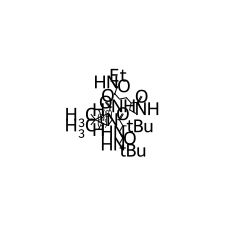 CCNC(=O)C(=O)C(CC1CCNC1=O)NC(=O)[C@@H]1[C@@H]2[C@H](CN1C(=O)C(NC(=O)NC(C)(C)C)C(C)(C)C)C2(C)C